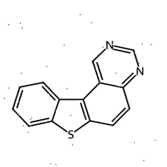 c1ccc2c(c1)sc1ccc3ncncc3c12